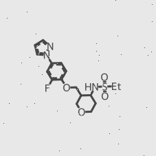 CCS(=O)(=O)NC1CCOCC1COc1ccc(-n2cccn2)cc1F